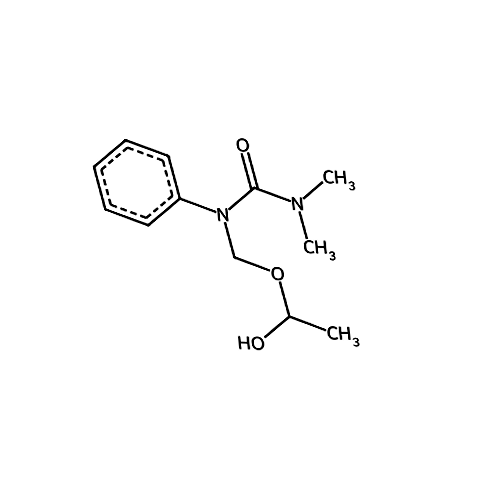 CC(O)OCN(C(=O)N(C)C)c1ccccc1